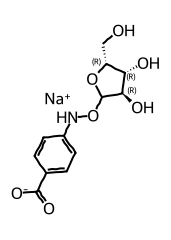 O=C([O-])c1ccc(NOC2O[C@H](CO)[C@H](O)[C@H]2O)cc1.[Na+]